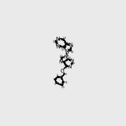 c1ccc(COc2ncnc3c2ncn3-n2cnc3cncnc32)cc1